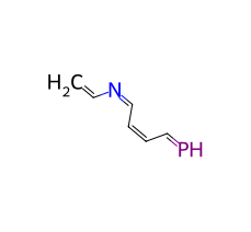 C=C/N=C\C=C/C=P